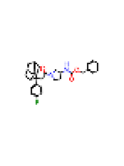 O=C(NC1CCN(C(=O)CC2(c3ccc(F)cc3)C3CC4CC(C3)CC2C4)C1)OCc1ccccc1